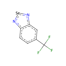 FC(F)(F)c1ccc2n[se]nc2c1